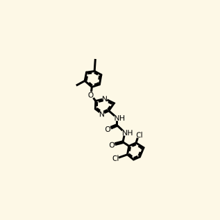 Cc1ccc(Oc2cnc(NC(=O)NC(=O)c3c(Cl)cccc3Cl)cn2)c(C)c1